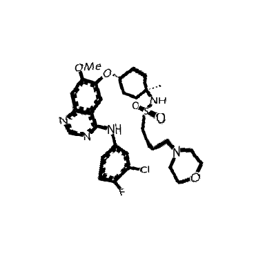 COc1cc2ncnc(Nc3ccc(F)c(Cl)c3)c2cc1O[C@H]1CC[C@](C)(NS(=O)(=O)CCCN2CCOCC2)CC1